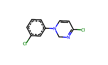 ClC1=NCN(c2cccc(Cl)c2)C=C1